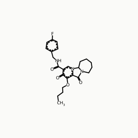 CCCCOc1c2n(cc(C(=O)NCc3ccc(F)cc3)c1=O)C1CCCCCN1C2=O